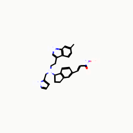 Cc1ccc2c(CCN(Cc3ccc[nH]3)C3CCc4cc(C=CC(=O)NO)ccc43)c[nH]c2c1